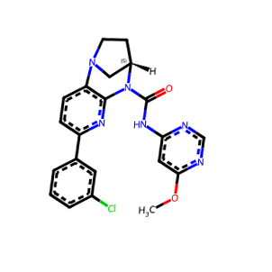 COc1cc(NC(=O)N2c3nc(-c4cccc(Cl)c4)ccc3N3CC[C@H]2C3)ncn1